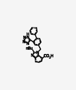 CCCCc1nc2cccc(C(=O)O)c2n1Cc1ccc(-c2ccccc2)c(-c2nnn[nH]2)c1